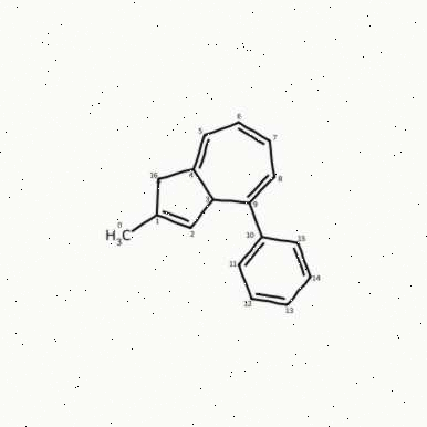 CC1=CC2C(=CC=CC=C2c2ccccc2)[C]1